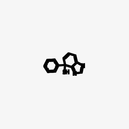 SC1(c2ccccc2)C=CC=C2N=CN=C21